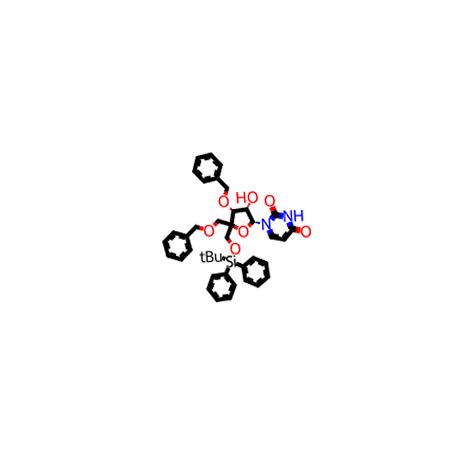 CC(C)(C)[Si](OCC1(COCc2ccccc2)O[C@@H](n2ccc(=O)[nH]c2=O)[C@@H](O)[C@H]1OCc1ccccc1)(c1ccccc1)c1ccccc1